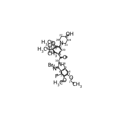 CCOc1cc2c(c(F)c1OC)/C(=N/Br)N(CC(=O)c1cc(N3CCC(O)CC3)c(OC)c(C(C)(C)C)c1)C2